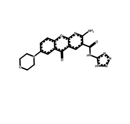 Nc1nc2oc3ccc(N4CCOCC4)cc3c(=O)c2cc1C(=O)Nc1nnn[nH]1